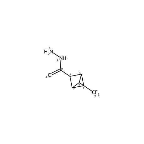 NNC(=O)C1C2CC1C2C(F)(F)F